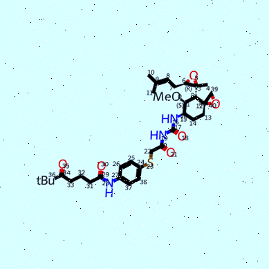 CO[C@H]1[C@H](C2(C)O[C@@H]2CC=C(C)C)[C@]2(CC[C@H]1NC(=O)NC(=O)CSc1ccc(NC(=O)CCCC(=O)C(C)(C)C)cc1)CO2